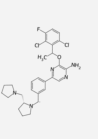 CC(Oc1nc(-c2cccc([CH]N3CCC[C@@H]3CN3CCCC3)c2)cnc1N)c1c(Cl)ccc(F)c1Cl